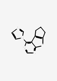 c1cn(-c2ncnc3sc4c(c23)CCC4)cn1